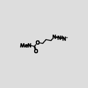 CNC(=O)OCCCN=[N+]=[N-]